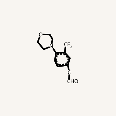 O=CCc1ccc(N2CCOCC2)c(C(F)(F)F)c1